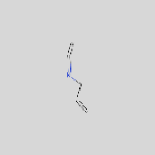 C=C=NCC=C